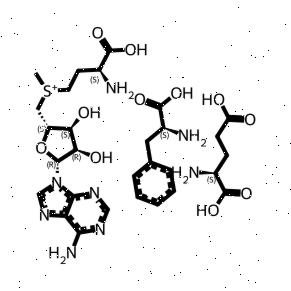 C[S+](CC[C@H](N)C(=O)O)C[C@H]1O[C@@H](n2cnc3c(N)ncnc32)[C@H](O)[C@@H]1O.N[C@@H](CCC(=O)O)C(=O)O.N[C@@H](Cc1ccccc1)C(=O)O